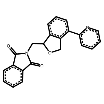 O=C1c2ccccc2C(=O)N1CC1OCc2c(-c3ccccn3)cccc21